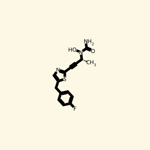 C[C@H](C#Cc1ncc(Cc2ccc(F)cc2)s1)N(O)C(N)=O